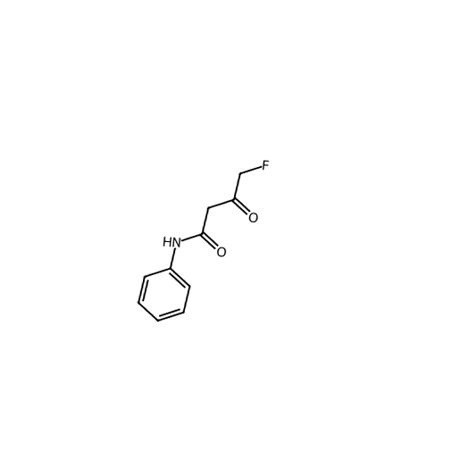 O=C(CF)CC(=O)Nc1ccccc1